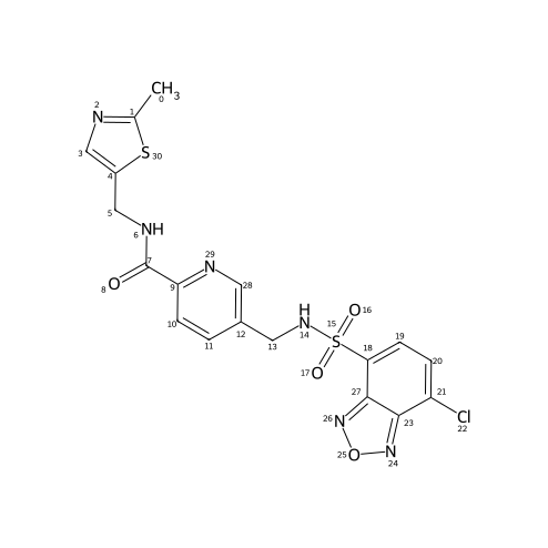 Cc1ncc(CNC(=O)c2ccc(CNS(=O)(=O)c3ccc(Cl)c4nonc34)cn2)s1